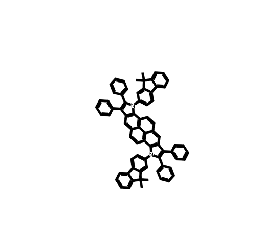 CC1(C)c2ccccc2-c2ccc(-n3c(-c4ccccc4)c(-c4ccccc4)c4cc5ccc6c7c(ccc(c57)c43)cc3c(-c4ccccc4)c(-c4ccccc4)n(-c4ccc5c(c4)C(C)(C)c4ccccc4-5)c36)cc21